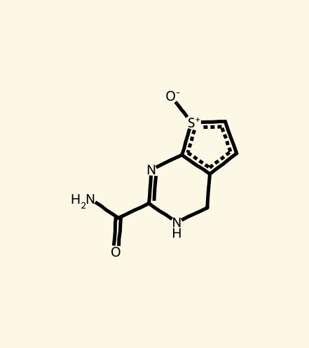 NC(=O)C1=Nc2c(cc[s+]2[O-])CN1